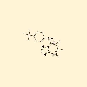 C=C(C)/C(C)=C(/NC1CCC(C(C)(C)C)CC1)n1ncnc1N